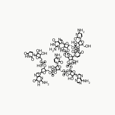 Nc1ccn([C@@H]2O[C@H](CO)C(OP(=O)(O)OC[C@H]3O[C@@H](n4cnc5c(=O)[nH]c(N)nc54)[C@@H](O)C3OP(=O)(O)OC[C@H]3O[C@@H](n4ccc(=O)[nH]c4=O)[C@@H](O)C3OP(=O)(O)OC[C@H]3O[C@@H](n4cnc5c(N)ncnc54)[C@@H](O)C3OP(=O)(O)OC[C@H]3O[C@@H](n4ccc(N)nc4=O)[C@@H](O)C3OP(=O)(O)OC[C@H]3O[C@@H](n4cnc5c(=O)[nH]c(N)nc54)CC3OP(=O)(O)OC[C@H]3O[C@@H](n4ccc(=O)[nH]c4=O)[C@@H](O)C3O)[C@@H]2O)c(=O)n1